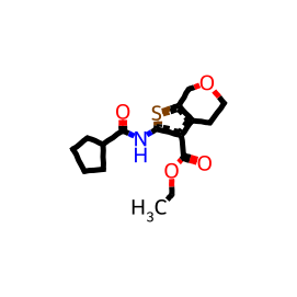 CCOC(=O)c1c(NC(=O)C2CCCC2)sc2c1CCOC2